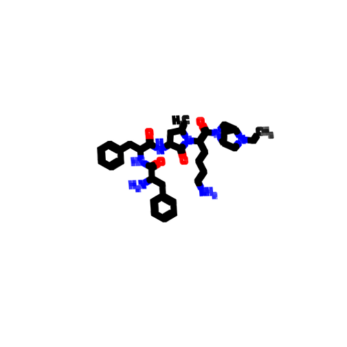 CCN1CC2CC1CN2C(=O)C(CCCCN)N1C(=O)C(NC(=O)C(Cc2ccccc2)NC(=O)C(N)Cc2ccccc2)CC1C